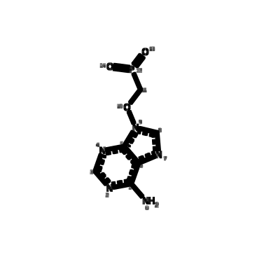 Nc1ncnc2c1ncn2OCP(=O)=O